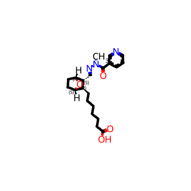 CN(N=C[C@@H]1[C@@H](CCCCCCC(=O)O)[C@@H]2CC[C@H]1O2)C(=O)c1cccnc1